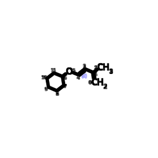 C=C(C)/C=C/OC1CCCCC1